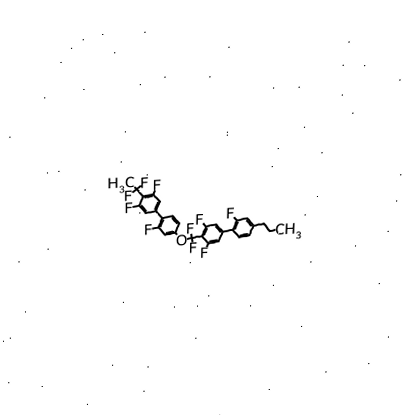 CCCc1ccc(-c2cc(F)c(C(F)(F)Oc3ccc(-c4cc(F)c(C(C)(F)F)c(F)c4)c(F)c3)c(F)c2)c(F)c1